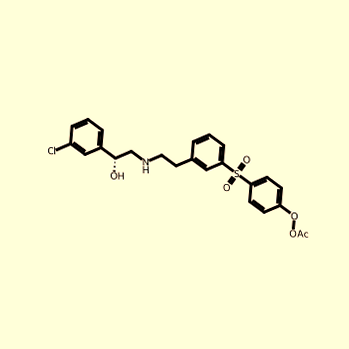 CC(=O)OOc1ccc(S(=O)(=O)c2cccc(CCNC[C@H](O)c3cccc(Cl)c3)c2)cc1